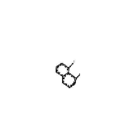 Fc1[c]ccc2c[c]cc(F)c12